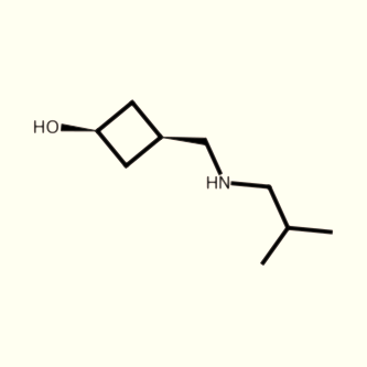 CC(C)CNC[C@H]1C[C@@H](O)C1